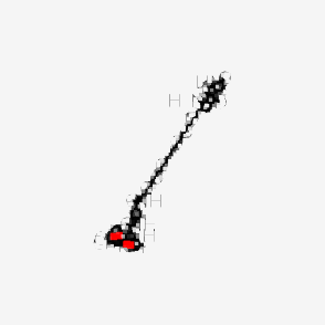 Nc1c(CCOCCOCCOCCCCCOCCOCCOCCNC(=O)c2ccc(NC(=O)[C@@H]3NC4(CCCCC4)[C@@]4(C(=O)Nc5cc(Cl)ccc54)[C@H]3c3cccc(Cl)c3F)cc2)ccc2c1C(=O)N(C1CCC(=O)NC1=O)C2=O